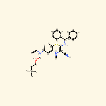 C=CN(COCC[Si](C)(C)C)C(=C)/C=C\C(C)S/C(N=C(c1ccccc1)c1ccccc1)=C(/C#N)N=C